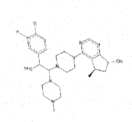 C[C@@H]1C[C@@H](O)c2ncnc(N3CCN(C(C(C=O)c4ccc(Cl)c(F)c4)N4CCN(C)CC4)CC3)c21